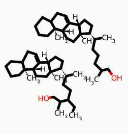 CC(CO)CCCC(C)[C@H]1CC[C@H]2C3=CCC4CCCC[C@]4(C)[C@H]3CC[C@]12C.CCC(CCC(C)[C@H]1CC[C@H]2C3=CCC4CCCC[C@]4(C)[C@H]3CC[C@]12C)C(C)CO